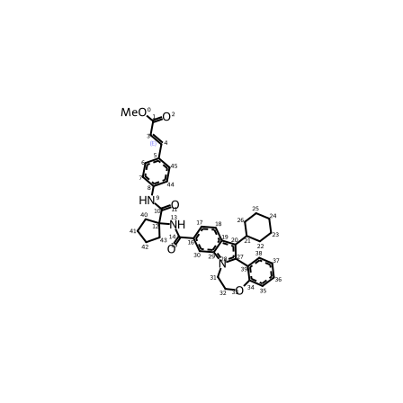 COC(=O)/C=C/c1ccc(NC(=O)C2(NC(=O)c3ccc4c(C5CCCCC5)c5n(c4c3)CCOc3ccccc3-5)CCCC2)cc1